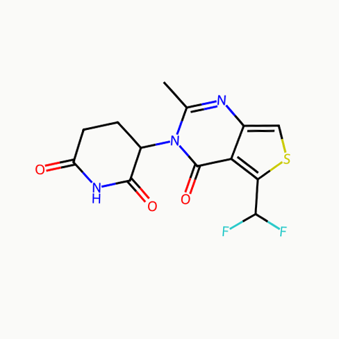 Cc1nc2csc(C(F)F)c2c(=O)n1C1CCC(=O)NC1=O